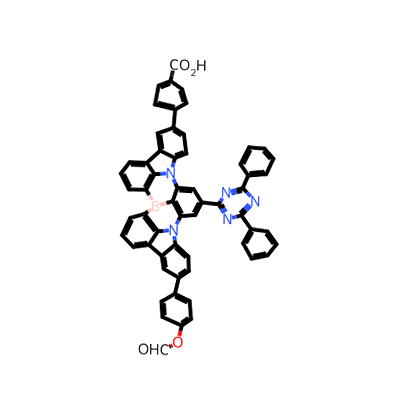 O=COc1ccc(-c2ccc3c(c2)c2cccc4c2n3-c2cc(-c3nc(-c5ccccc5)nc(-c5ccccc5)n3)cc3c2B4c2cccc4c5cc(-c6ccc(C(=O)O)cc6)ccc5n-3c24)cc1